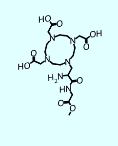 COC(=O)CNC(=O)C(N)CN1CCN(CC(=O)O)CCN(CC(=O)O)CCN(CC(=O)O)CC1